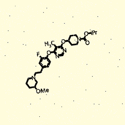 COC1CCCN(CCc2ccc(Oc3ncnc(OC4CCN(C(=O)OC(C)C)CC4)c3C)c(F)c2)C1